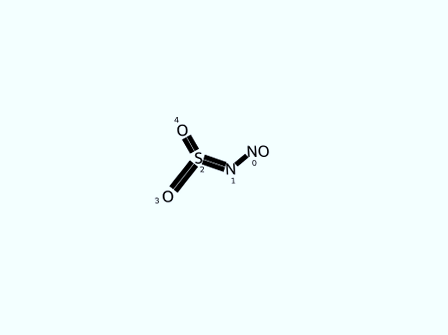 O=NN=S(=O)=O